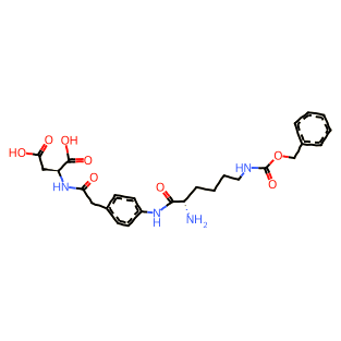 N[C@@H](CCCCNC(=O)OCc1ccccc1)C(=O)Nc1ccc(CC(=O)N[C@@H](CC(=O)O)C(=O)O)cc1